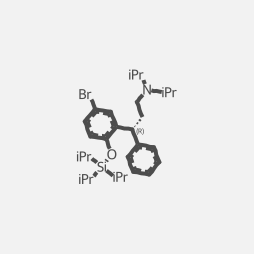 CC(C)N(CC[C@H](c1ccccc1)c1cc(Br)ccc1O[Si](C(C)C)(C(C)C)C(C)C)C(C)C